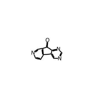 O=C1c2cnccc2-c2cncnc21